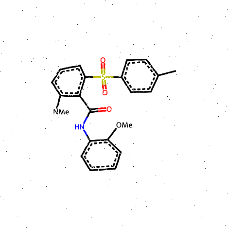 CNc1cccc(S(=O)(=O)c2ccc(C)cc2)c1C(=O)Nc1ccccc1OC